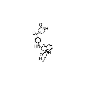 CC1C=NC2=CC=CC3=NC(Nc4ccc(C(=O)N5CCNC(=O)C5)cc4)=NCC23CC1=O